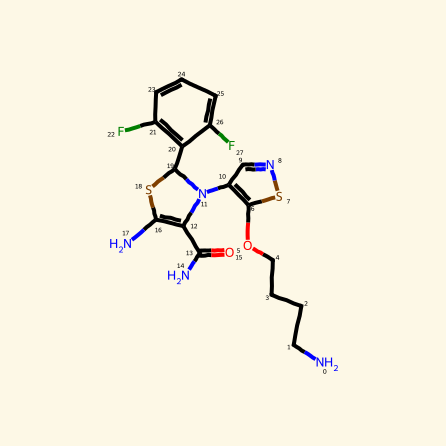 NCCCCOc1sncc1N1C(C(N)=O)=C(N)SC1c1c(F)cccc1F